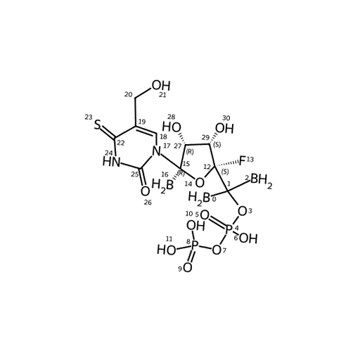 BC(B)(OP(=O)(O)OP(=O)(O)O)[C@@]1(F)O[C@@](B)(n2cc(CO)c(=S)[nH]c2=O)[C@H](O)[C@@H]1O